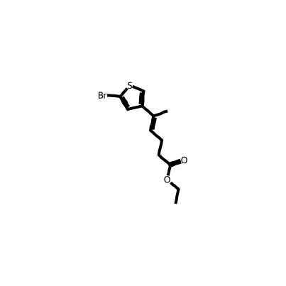 CCOC(=O)CC/C=C(\C)c1csc(Br)c1